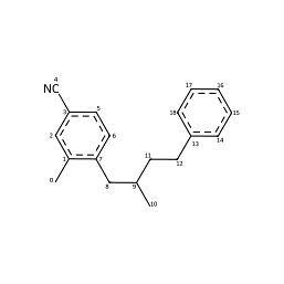 Cc1cc(C#N)ccc1CC(C)CCc1ccccc1